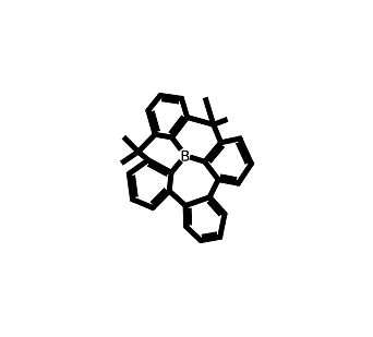 CC1(C)c2cccc3c2B2c4c(cccc4C(C)(C)c4cccc1c42)-c1ccccc1-3